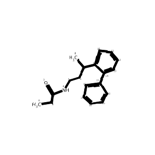 CCC(=O)NCCC(C)c1ccccc1-c1ccccc1